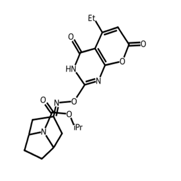 CCc1cc(=O)oc2nc(ON=C3CC4CCC(C3)N4C(=O)OC(C)C)[nH]c(=O)c12